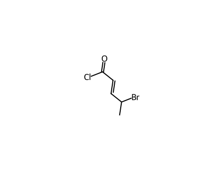 CC(Br)/C=C/C(=O)Cl